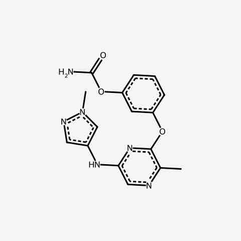 Cc1ncc(Nc2cnn(C)c2)nc1Oc1cccc(OC(N)=O)c1